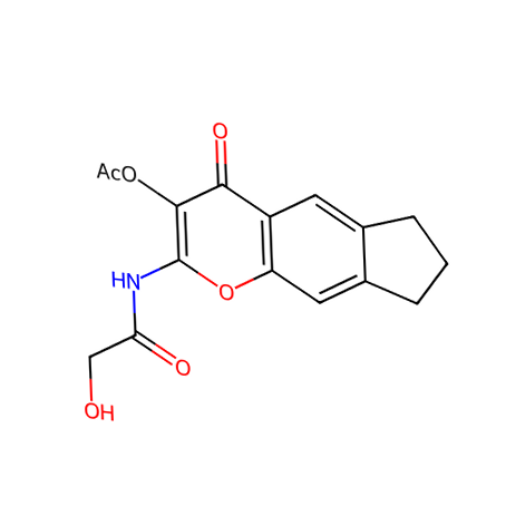 CC(=O)Oc1c(NC(=O)CO)oc2cc3c(cc2c1=O)CCC3